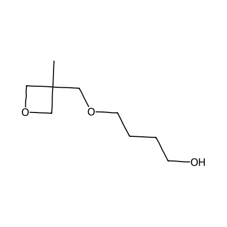 CC1(COCCCCO)COC1